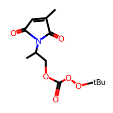 CC1=CC(=O)N(C(C)COC(=O)OOC(C)(C)C)C1=O